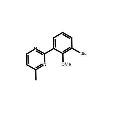 COc1c(-c2nccc(C)n2)cccc1C(C)(C)C